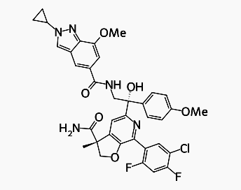 COc1ccc([C@](O)(CNC(=O)c2cc(OC)c3nn(C4CC4)cc3c2)c2cc3c(c(-c4cc(Cl)c(F)cc4F)n2)OC[C@]3(C)C(N)=O)cc1